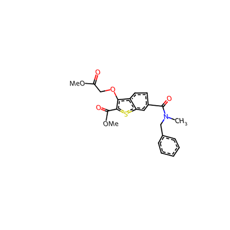 COC(=O)COc1c(C(=O)OC)sc2cc(C(=O)N(C)Cc3ccccc3)ccc12